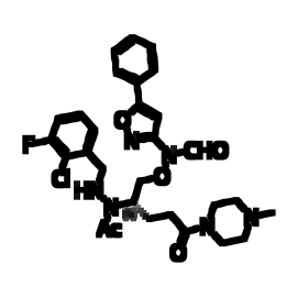 CC(=O)N(NCc1cccc(F)c1Cl)[C@@H](CCC(=O)N1CCN(C)CC1)CON(C=O)c1cc(-c2ccccc2)on1